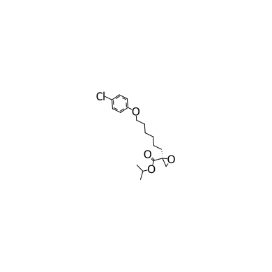 CC(C)OC(=O)[C@]1(CCCCCCOc2ccc(Cl)cc2)CO1